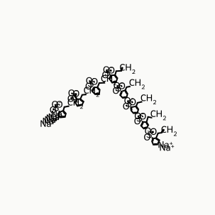 C=CCc1ccccc1S(=O)(=O)[O-].C=CCc1ccccc1S(=O)(=O)[O-].C=CCc1ccccc1S(=O)(=O)[O-].C=CCc1ccccc1S(=O)(=O)[O-].C=CCc1ccccc1S(=O)(=O)[O-].C=CCc1ccccc1S(=O)(=O)[O-].C=CCc1ccccc1S(=O)(=O)[O-].C=CCc1ccccc1S(=O)(=O)[O-].[Na+].[Na+].[Na+].[Na+].[Na+].[Na+].[Na+].[Na+]